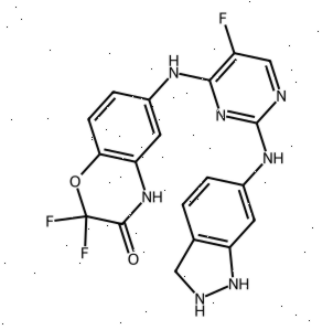 O=C1Nc2cc(Nc3nc(Nc4ccc5c(c4)NNC5)ncc3F)ccc2OC1(F)F